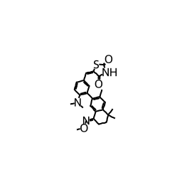 CON=C1CCC(C)(C)c2cc(C)c(-c3cc(C=C4SC(=O)NC4=O)ccc3N(C)C)cc21